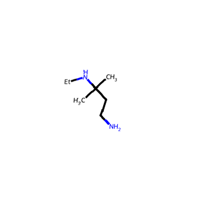 CCNC(C)(C)CCN